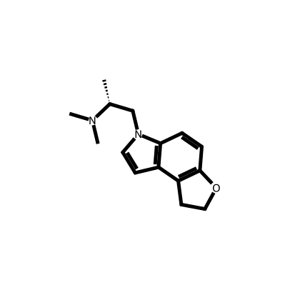 C[C@H](Cn1ccc2c3c(ccc21)OCC3)N(C)C